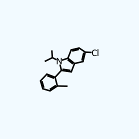 Cc1ccccc1-c1cc2cc(Cl)ccc2n1C(C)C